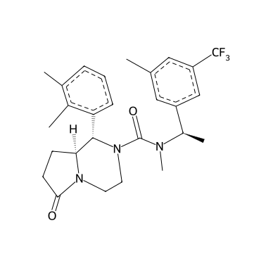 Cc1cc([C@@H](C)N(C)C(=O)N2CCN3C(=O)CC[C@H]3[C@@H]2c2cccc(C)c2C)cc(C(F)(F)F)c1